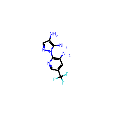 Nc1cc(C(F)(F)F)cnc1-n1ncc(N)c1N